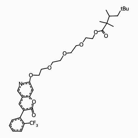 CC(CC(C)(C)C)C(C)(C)C(=O)OCCOCCOCCOCCOc1cc2oc(=O)c(-c3ccccc3C(F)(F)F)cc2cn1